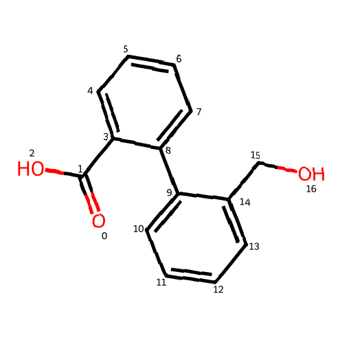 O=C(O)c1ccccc1-c1ccccc1CO